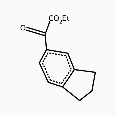 CCOC(=O)C(=O)c1ccc2c(c1)CCC2